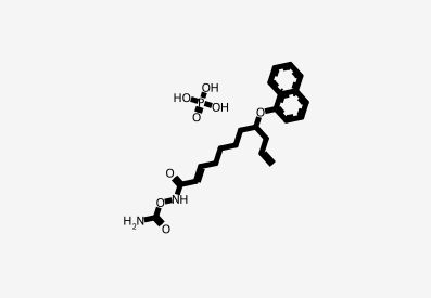 C=CCC(CCCCC=CC(=O)NOC(N)=O)Oc1cccc2ccccc12.O=P(O)(O)O